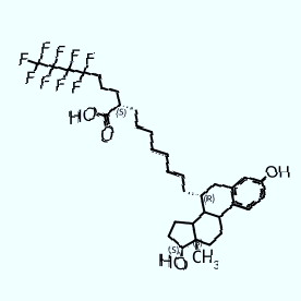 C[C@]12CCC3c4ccc(O)cc4C[C@@H](CCCCCCCC[C@@H](CCCC(F)(F)C(F)(F)C(F)(F)C(F)(F)F)C(=O)O)C3C1CC[C@@H]2O